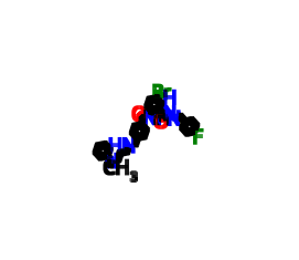 CN(CCCNCc1ccc(C(=O)Nc2ccc(Br)cc2C(=O)NN=Cc2ccc(F)cc2)cc1)c1ccccc1